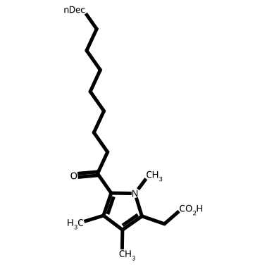 CCCCCCCCCCCCCCCCCC(=O)c1c(C)c(C)c(CC(=O)O)n1C